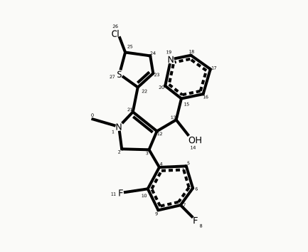 CN1CC(c2ccc(F)cc2F)C(C(O)c2cccnc2)=C1C1=CCC(Cl)S1